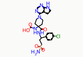 NS(=O)(=O)CCC(NC(=O)C1(NC(=O)O)CCN(c2ncnc3[nH]ccc23)CC1)c1ccc(Cl)cc1